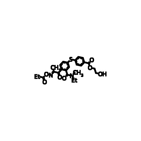 CCC(=O)O/N=C(\C)C(=O)c1ccc(Sc2ccc(C(=O)OCCO)cc2)cc1C(=O)N(C)CC